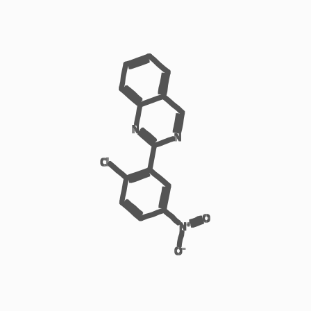 O=[N+]([O-])c1ccc(Cl)c(-c2ncc3ccccc3n2)c1